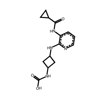 O=C(O)NC1CC(Nc2ncccc2NC(=O)C2CC2)C1